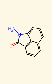 NN1C(=O)c2cccc3cccc1c23